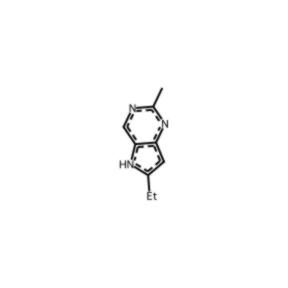 CCc1cc2nc(C)ncc2[nH]1